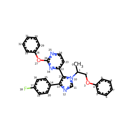 CC(COc1ccccc1)n1cnc(-c2ccc(F)cc2)c1-c1ccnc(Oc2ccccc2)n1